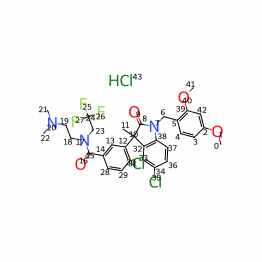 COc1ccc(CN2C(=O)C(C)(c3cc(C(=O)N(CCN(C)C)CC(F)(F)F)ccc3Cl)c3cc(Cl)ccc32)c(OC)c1.Cl